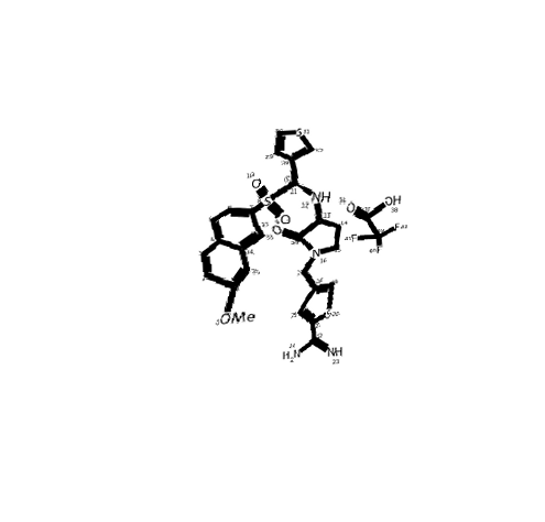 COc1ccc2ccc(S(=O)(=O)[C@H](NC3CCN(Cc4csc(C(=N)N)c4)C3=O)c3ccsc3)cc2c1.O=C(O)C(F)(F)F